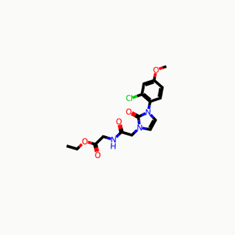 CCOC(=O)CNC(=O)Cn1ccn(-c2ccc(OC)cc2Cl)c1=O